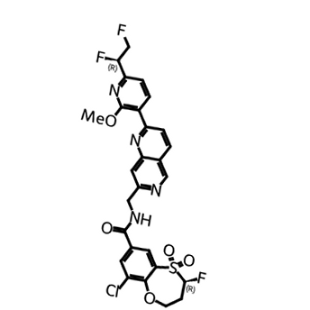 COc1nc([C@@H](F)CF)ccc1-c1ccc2cnc(CNC(=O)c3cc(Cl)c4c(c3)S(=O)(=O)[C@@H](F)CCO4)cc2n1